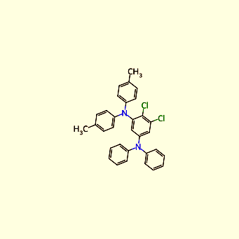 Cc1ccc(N(c2ccc(C)cc2)c2cc(N(c3ccccc3)c3ccccc3)cc(Cl)c2Cl)cc1